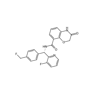 O=C1COc2c(cccc2C(=O)N[C@@H](c2ccc(CF)cc2)c2ncccc2F)N1